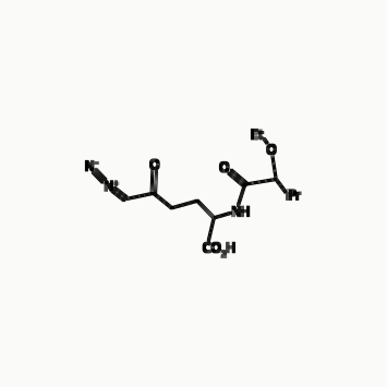 CCOC(C(=O)NC(CCC(=O)C=[N+]=[N-])C(=O)O)C(C)C